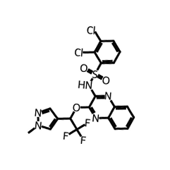 Cn1cc(C(Oc2nc3ccccc3nc2NS(=O)(=O)c2cccc(Cl)c2Cl)C(F)(F)F)cn1